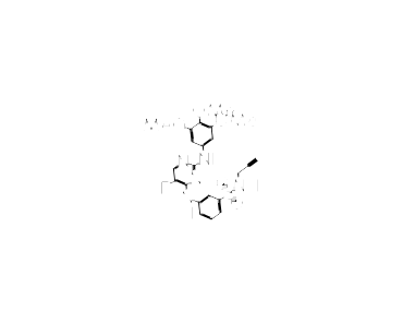 C#CCNS(=O)(=O)c1cccc(Nc2nc(Nc3cc(OC)c(OC)c(OC)c3)ncc2F)c1